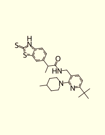 CC1CCN(c2nc(C(C)(C)C)ccc2CNC(=O)C(C)c2ccc3[nH]c(=S)sc3c2)CC1